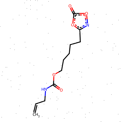 C=CCNC(=O)OCCCCCc1noc(=O)o1